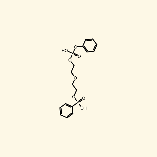 O=P(O)(OCCOCCOP(=O)(O)c1ccccc1)Oc1ccccc1